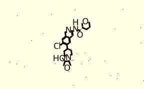 C[C@]1(N2CCC(c3cc4cc(NC(=O)[C@H]5CCCOC5)ncc4cc3Cl)CC2)COC[C@H]1O